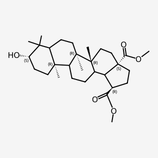 COC(=O)[C@@H]1CC[C@]2(C(=O)OC)CC[C@]3(C)C(CCC4[C@@]5(C)CC[C@H](O)C(C)(C)C5CC[C@]43C)C12